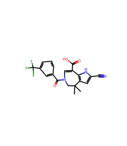 CC1(C)CN(C(=O)c2cccc(C(F)(F)F)c2)C=C(C(=O)O)c2[nH]c(C#N)cc21